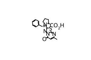 Cc1cc(=O)n2nc([N@@+]3(Cc4ccccc4)CCCC3C(=O)O)sc2n1